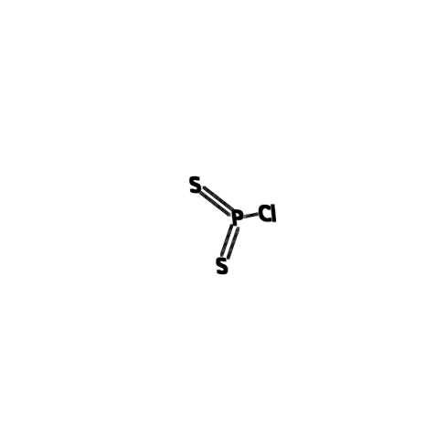 S=P(=S)Cl